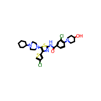 O=C(Nc1nc(-c2cc(Cl)cs2)c(N2CCN(C3CCCCC3)CC2)s1)c1ccc(N2CCC(O)CC2)c(Cl)c1